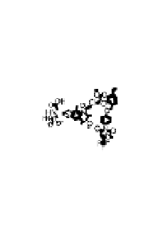 CCc1ccc(COc2ccc(-n3c(=O)cc(C(F)(F)F)n(C)c3=O)cc2)c(OC(C)C(=O)OC)c1.CCc1cccc(C)c1N(C(=O)CCl)C(C)COC.C[S+](C)C.O=C(O)CNCP(=O)([O-])O